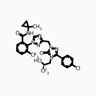 CC1(NC(=O)c2cccc(C(F)(F)F)c2-n2cnc(Cn3nc(-c4ccc(Cl)cc4)n(C[C@H](O)C(F)(F)F)c3=O)n2)CC1